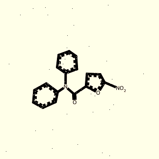 O=C(c1ccc([N+](=O)[O-])o1)N(c1ccccc1)c1ccccc1